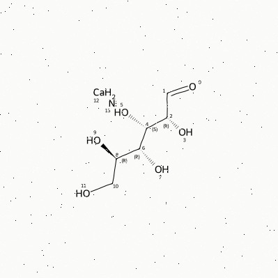 O=C[C@H](O)[C@@H](O)[C@H](O)[C@H](O)CO.[CaH2].[N]